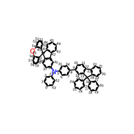 c1ccc(N(c2ccc(-c3ccc4c(c3)C(c3ccccc3)(c3ccccc3)c3ccccc3-4)cc2)c2ccc3c(c2)-c2ccccc2C32c3ccccc3Oc3ccccc32)cc1